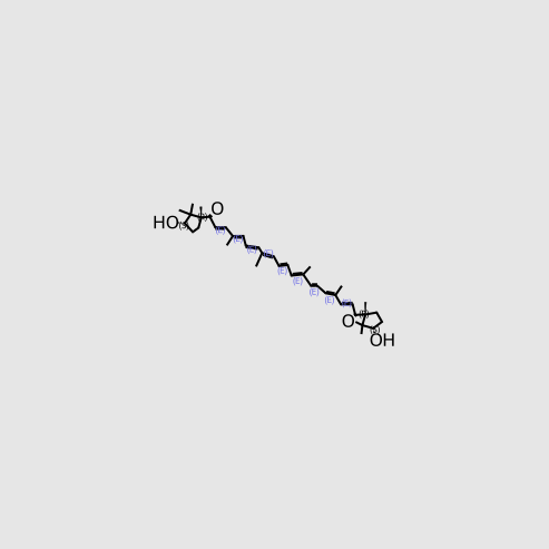 CC(/C=C/C=C(C)/C=C/C(=O)[C@]1(C)CC[C@H](O)C1(C)C)=C\C=C\C=C(C)\C=C\C=C(C)\C=C\C(=O)[C@]1(C)CC[C@H](O)C1(C)C